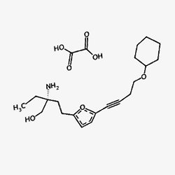 CC[C@](N)(CO)CCc1ccc(C#CCCOC2CCCCC2)o1.O=C(O)C(=O)O